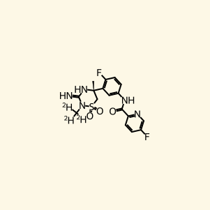 [2H]C([2H])([2H])N1C(=N)N[C@](C)(c2cc(NC(=O)c3ccc(F)cn3)ccc2F)CS1(=O)=O